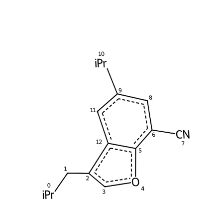 CC(C)Cc1coc2c(C#N)cc(C(C)C)cc12